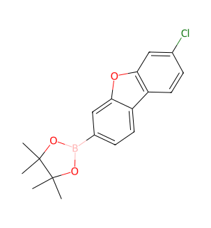 CC1(C)OB(c2ccc3c(c2)oc2cc(Cl)ccc23)OC1(C)C